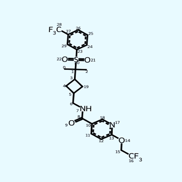 CC(C)(C1CC(CNC(=O)c2ccc(OCC(F)(F)F)nc2)C1)S(=O)(=O)c1cccc(C(F)(F)F)c1